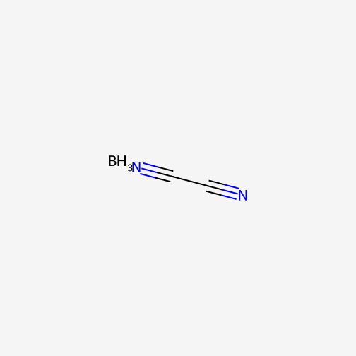 B.N#CC#N